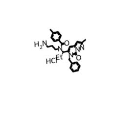 CC[C@H](c1cc2cc(C)nn2c(=O)n1Cc1ccccc1)N(CCCN)C(=O)c1ccc(C)cc1.Cl